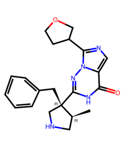 C[C@H]1CNC[C@]1(Cc1ccccc1)c1nn2c(C3CCOC3)ncc2c(=O)[nH]1